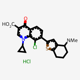 CNC1CCCc2sc(-c3ccc4c(=O)c(C(=O)O)cn(C5CC5)c4c3Cl)cc21.Cl